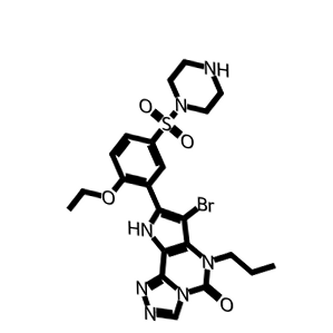 CCCn1c(=O)n2cnnc2c2[nH]c(-c3cc(S(=O)(=O)N4CCNCC4)ccc3OCC)c(Br)c21